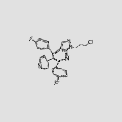 Fc1ccc(-c2nc3c(cnn3CCCCl)c(-c3ccc(F)cc3)c2-c2ccncc2)cc1